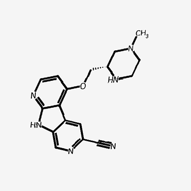 CN1CCN[C@H](COc2ccnc3[nH]c4cnc(C#N)cc4c23)C1